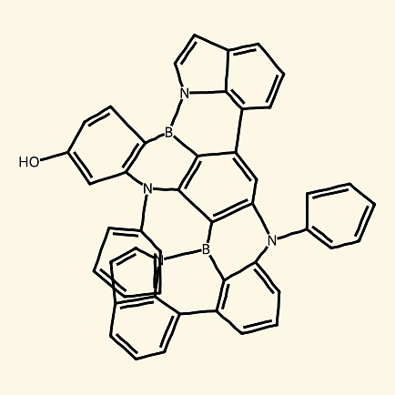 Oc1ccc2c(c1)N(c1ccccc1)c1c3c(cc4c1B1c5c(cccc5N4c4ccccc4)-c4cccc5ccn1c45)-c1cccc4ccn(c14)B23